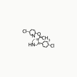 C[C@H](Oc1ccc(Cl)cn1)[C@H]1CCNC[C@@H]1c1ccc(Cl)cc1